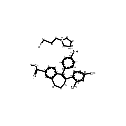 COC(=O)c1ccc2c(c1)CCCC(c1ccc(Cl)cc1Cl)=C2c1ccc(N[C@H]2CCN(CCCF)C2)cc1